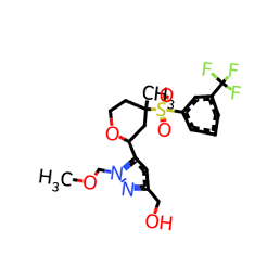 COCn1nc(CO)cc1C1CC(C)(S(=O)(=O)c2cccc(C(F)(F)F)c2)CCO1